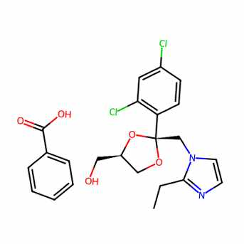 CCc1nccn1C[C@@]1(c2ccc(Cl)cc2Cl)OC[C@@H](CO)O1.O=C(O)c1ccccc1